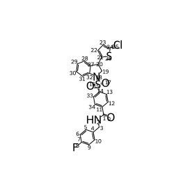 O=C(NCc1ccc(F)cc1)c1ccc(S(=O)(=O)N2CC(c3ccc(Cl)s3)c3ccccc32)cc1